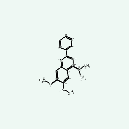 COc1cc2nc(-c3ccccc3)nc(N(C)C)c2cc1OC